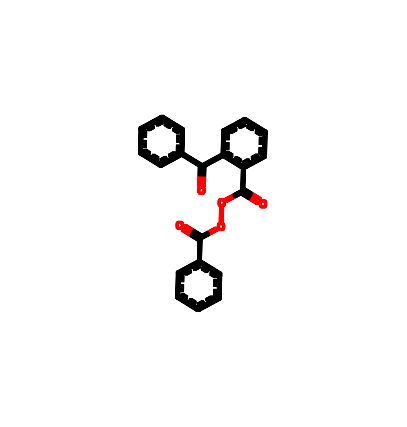 O=C(OOC(=O)c1ccccc1C(=O)c1ccccc1)c1ccccc1